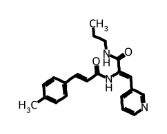 CCCNC(=O)/C(=C/c1cccnc1)NC(=O)/C=C/c1ccc(C)cc1